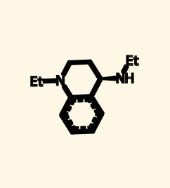 CCN[C@@H]1CCN(CC)c2ccccc21